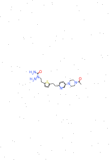 CC(=O)N1CCN(c2ccc(CCc3ccc(CCN(N)C(N)=O)s3)nc2)CC1